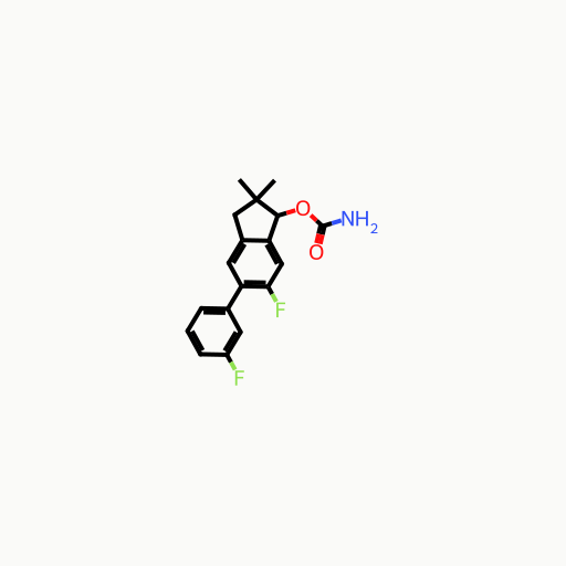 CC1(C)Cc2cc(-c3cccc(F)c3)c(F)cc2C1OC(N)=O